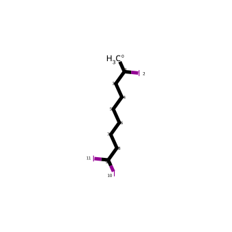 CC(I)CCCCCCC(I)I